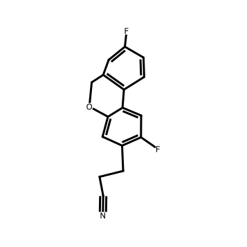 N#CCCc1cc2c(cc1F)-c1ccc(F)cc1CO2